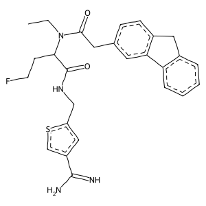 CCN(C(=O)Cc1ccc2c(c1)-c1ccccc1C2)C(CCF)C(=O)NCc1cc(C(=N)N)cs1